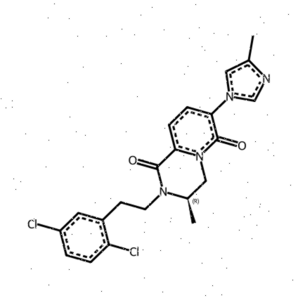 Cc1cn(-c2ccc3n(c2=O)C[C@@H](C)N(CCc2cc(Cl)ccc2Cl)C3=O)cn1